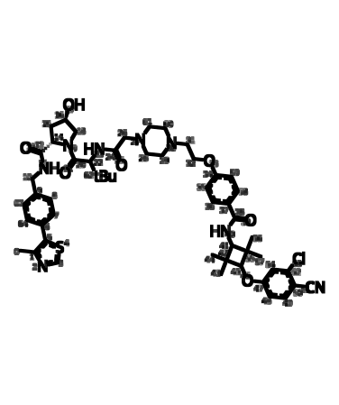 Cc1ncsc1-c1ccc(CNC(=O)[C@@H]2C[C@@H](O)CN2C(=O)C(NC(=O)CN2CCN(CCOc3ccc(C(=O)NC4C(C)(C)C(Oc5ccc(C#N)c(Cl)c5)C4(C)C)cc3)CC2)C(C)(C)C)cc1